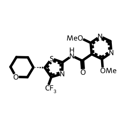 COc1ncnc(OC)c1C(=O)Nc1nc(C(F)(F)F)c([C@H]2CCCOC2)s1